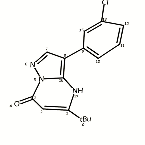 CC(C)(C)c1cc(=O)n2ncc(-c3cccc(Cl)c3)c2[nH]1